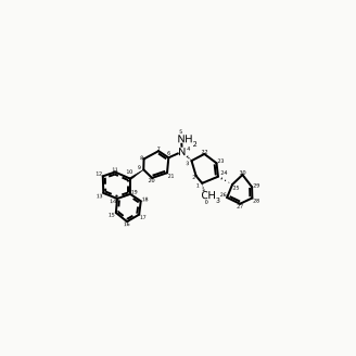 C[C@@H]1C[C@H](N(N)C2=CC[C@H](c3cccc4ccccc34)C=C2)CC=C1[C@H]1C=CC=CC1